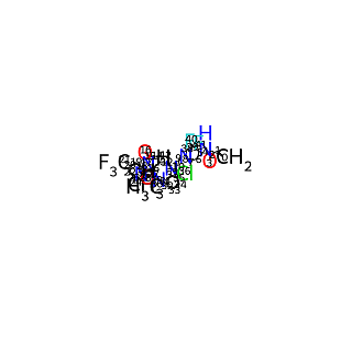 C=CC(=O)N[C@@H]1CCN(CCN2C[C@H]3CC(=O)N(c4cc(C(F)(F)F)cc(C)n4)[C@@H]3C(=O)N(C)c3cccc(Cl)c32)CC1(F)F